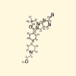 COCCN1CCC(c2ccc(C(=O)N3Cc4cnc(C#N)nc4N3CC(C)(C)C)cc2)CC1